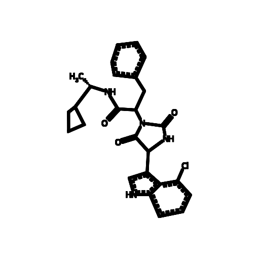 C[C@H](NC(=O)C(Cc1ccccc1)N1C(=O)NC(c2c[nH]c3cccc(Cl)c23)C1=O)C1CCC1